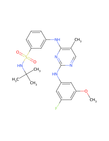 COc1cc(F)cc(Nc2ncc(C)c(Nc3cccc(S(=O)(=O)NC(C)(C)C)c3)n2)c1